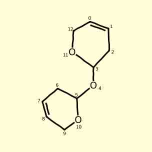 C1=CCC(OC2CC=CCO2)OC1